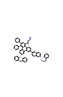 CC/C=C\C=C(/C)c1cc(-c2ccccc2)c(-c2ccccc2)c2c3ccc(N4c5ccccc5Cc5ccccc54)cc3c3cc(-c4ccc5cc(N6CCCc7ccccc76)ccc5c4)ccc3c12